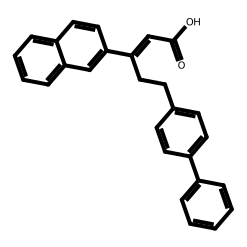 O=C(O)C=C(CCc1ccc(-c2ccccc2)cc1)c1ccc2ccccc2c1